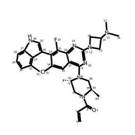 C=CC(=O)N1C[C@H](C)N(c2nc(N3CC(N(C)C)C3)nc3c(F)c(-c4c[nH]c5cccc(C)c45)c(Cl)cc23)C[C@H]1C